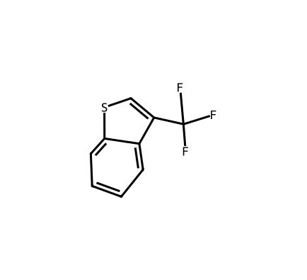 FC(F)(F)c1csc2ccccc12